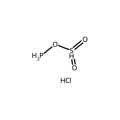 Cl.O=[SH](=O)OP